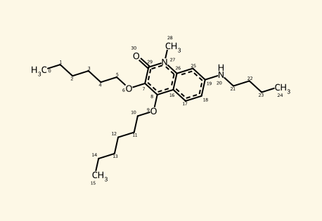 CCCCCCOc1c(OCCCCCC)c2ccc(NCCCC)cc2n(C)c1=O